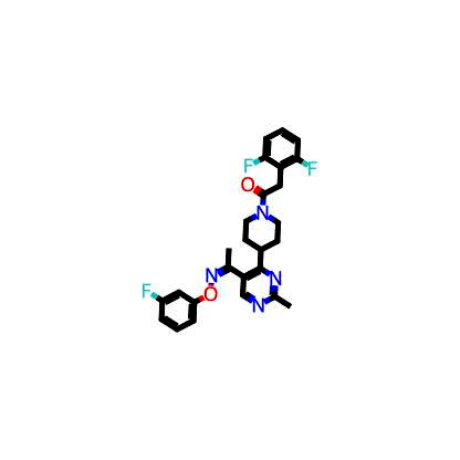 CC(=NOc1cccc(F)c1)c1cnc(C)nc1C1CCN(C(=O)Cc2c(F)cccc2F)CC1